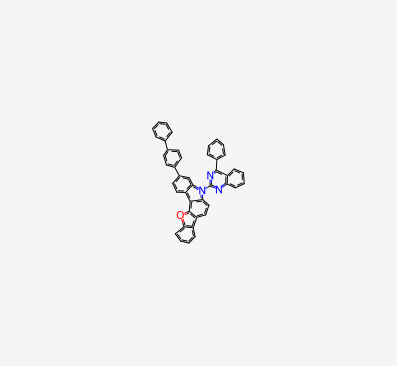 c1ccc(-c2ccc(-c3ccc4c5c6oc7ccccc7c6ccc5n(-c5nc(-c6ccccc6)c6ccccc6n5)c4c3)cc2)cc1